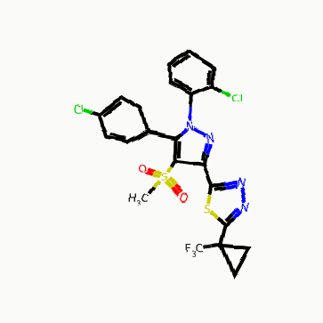 CS(=O)(=O)c1c(-c2nnc(C3(C(F)(F)F)CC3)s2)nn(-c2ccccc2Cl)c1C1C=CC(Cl)=CC1